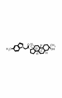 Cc1ccc2c(ccn2CC(=O)[C@H]2CC[C@H]3[C@@H]4CC[C@@H]5C[C@](C)(O)CC[C@]5(C)[C@H]4CC[C@]23C)c1